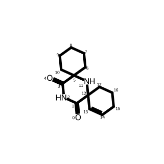 O=C1NC(=O)C2(CCCCC2)NC12C=CCCC2